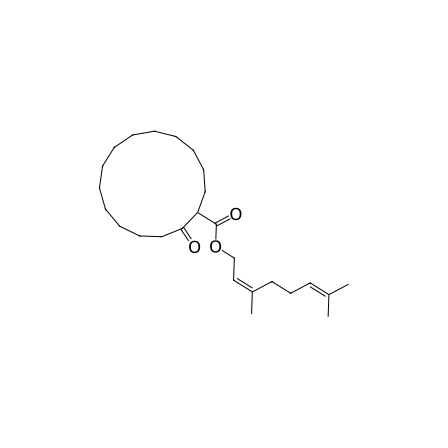 CC(C)=CCCC(C)=CCOC(=O)C1CCCCCCCCCCCCCC1=O